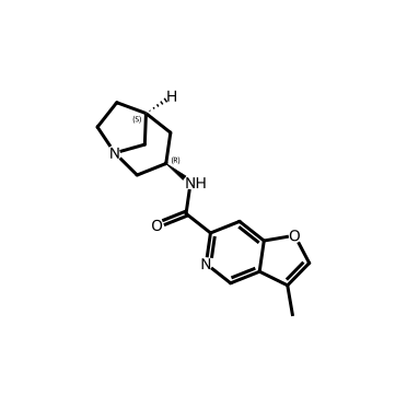 Cc1coc2cc(C(=O)N[C@@H]3C[C@@H]4CCN(C4)C3)ncc12